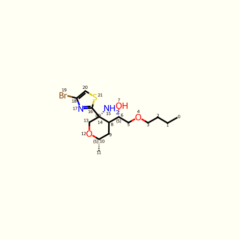 CCCCOC[C@@H](O)C1C[C@H](C)OC[C@@]1(N)c1nc(Br)cs1